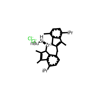 CCCC[SiH]=[Zr+2]([CH]1C(C)=C(C)c2c(C(C)C)ccc(C)c21)[CH]1C(C)=C(C)c2c(C(C)C)ccc(C)c21.[Cl-].[Cl-]